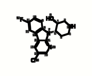 O[C@H]1CNCC[C@@H]1n1c2ccc(F)cc2c2cc(Cl)cnc21